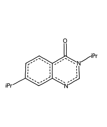 CC(C)c1ccc2c(=O)n(C(C)C)cnc2c1